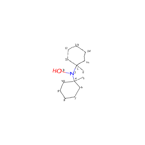 CC1(N(O)C2(C)CCCCC2)CCCCC1